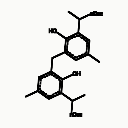 CCCCCCCCCCC(C)c1cc(C)cc(Cc2cc(C)cc(C(C)CCCCCCCCCC)c2O)c1O